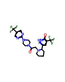 O=C(CN1CCCCC1c1cc(C(F)(F)F)c(=O)[nH]n1)N1CCN(c2ncc(C(F)(F)F)cn2)CC1